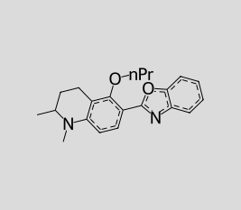 CCCOc1c(-c2nc3ccccc3o2)ccc2c1CCC(C)N2C